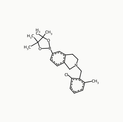 Cc1cccc(Cl)c1CN1CCc2cc(B3OC(C)(C)C(C)(C)O3)ccc2C1